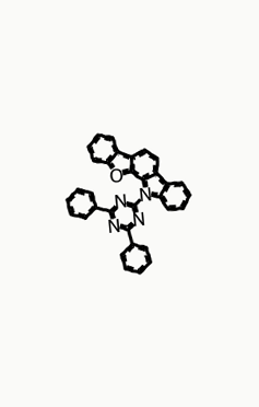 c1ccc(-c2nc(-c3ccccc3)nc(-n3c4ccccc4c4ccc5c6ccccc6oc5c43)n2)cc1